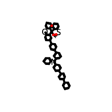 c1ccc(-c2ccc(-c3ccc(N(c4ccccc4)c4cccc(-c5ccc(-c6ccc7c(c6)C6(c8ccccc8O7)c7ccccc7Sc7ccccc76)cc5)c4)cc3)cc2)cc1